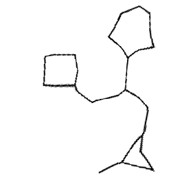 CC1CC1CC(CC1CCC1)C1CCCC1